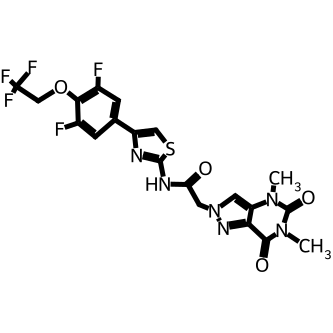 Cn1c(=O)c2nn(CC(=O)Nc3nc(-c4cc(F)c(OCC(F)(F)F)c(F)c4)cs3)cc2n(C)c1=O